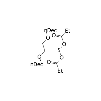 CCC(=O)OSOC(=O)CC.CCCCCCCCCCOCCOCCCCCCCCCC